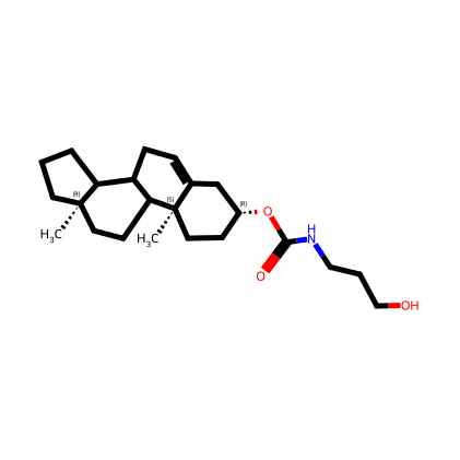 C[C@]12CCCC1C1CC=C3C[C@H](OC(=O)NCCCO)CC[C@@]3(C)C1CC2